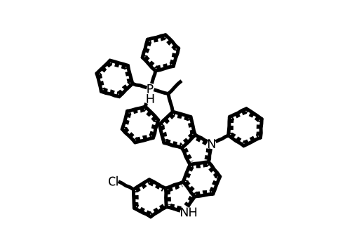 CC(c1ccc2c3c4c(ccc3n(-c3ccccc3)c2c1)[nH]c1ccc(Cl)cc14)[PH](c1ccccc1)(c1ccccc1)c1ccccc1